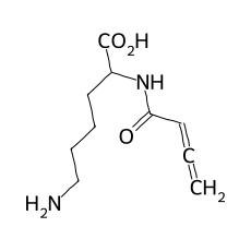 C=C=CC(=O)NC(CCCCN)C(=O)O